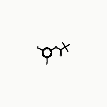 CC(C)(C)C(=O)Oc1cc(F)cc(F)c1